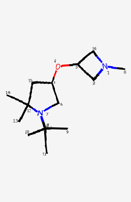 CN1CC(OC2CN(C(C)(C)C)C(C)(C)C2)C1